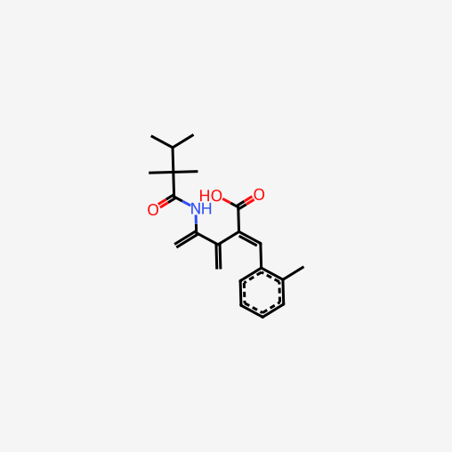 C=C(NC(=O)C(C)(C)C(C)C)C(=C)/C(=C\c1ccccc1C)C(=O)O